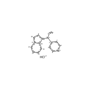 CCCN(c1ccncc1)n1ccc2ccccc21.Cl